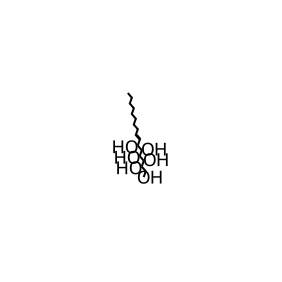 CCCCCCCCC=CC(O)C(O)C(O)C(O)C(O)CO